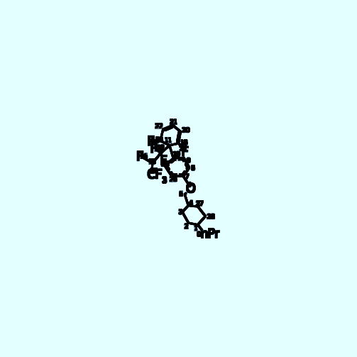 CCCC1CCC(COc2ccc(C3(C(F)(F)C(F)C(F)(F)F)C(F)=CC=CC3F)cc2)CC1